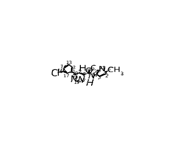 Cc1ccc(NC(=O)c2cc(-c3cccc(Cl)c3)ncn2)c(C)n1